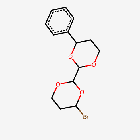 BrC1CCOC(C2OCCC(c3ccccc3)O2)O1